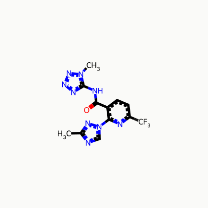 Cc1ncn(-c2nc(C(F)(F)F)ccc2C(=O)Nc2nnnn2C)n1